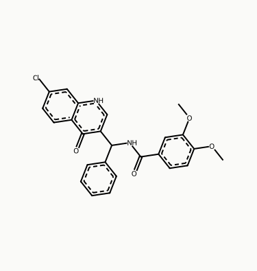 COc1ccc(C(=O)NC(c2ccccc2)c2c[nH]c3cc(Cl)ccc3c2=O)cc1OC